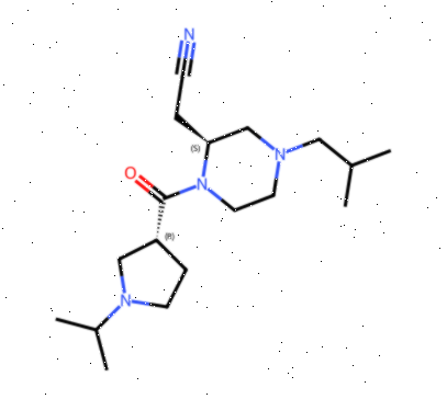 CC(C)CN1CCN(C(=O)[C@@H]2CCN(C(C)C)C2)[C@@H](CC#N)C1